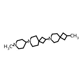 CC1CC2(CCN(C3CC4(CCN(C5CCN(C)CC5)CC4)C3)CC2)C1